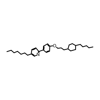 CCCCCCCc1ccc(-c2ccc(OCCCC3CCC(CCCCC)CC3)cc2)nc1